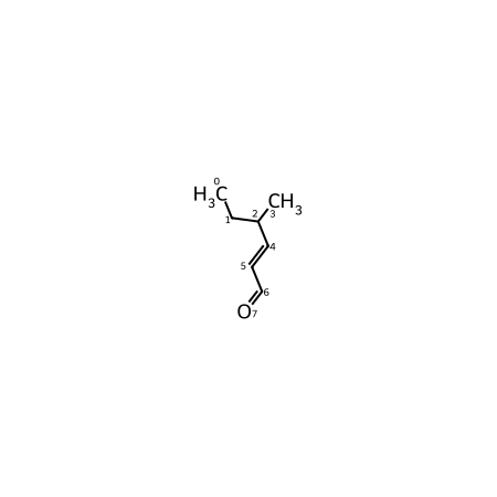 CCC(C)/C=C/C=O